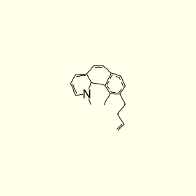 C=CCCc1ccc2c(c1C)C1C(=CC=CN1C)C=C2